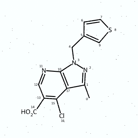 Cc1nn(Cc2ccsc2)c2ncc(C(=O)O)c(Cl)c12